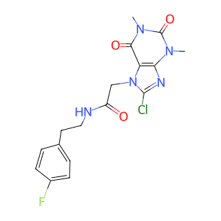 Cn1c(=O)c2c(nc(Cl)n2CC(=O)NCCc2ccc(F)cc2)n(C)c1=O